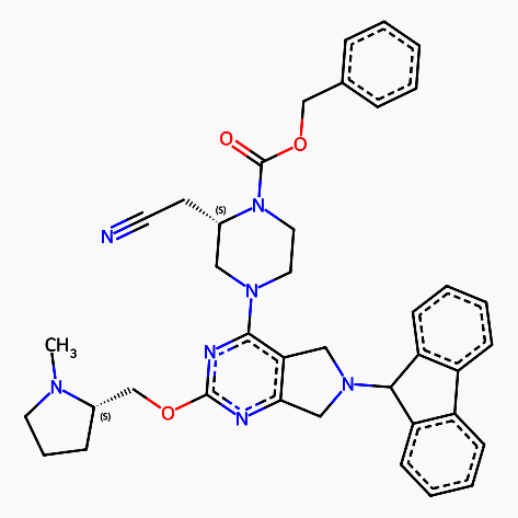 CN1CCC[C@H]1COc1nc2c(c(N3CCN(C(=O)OCc4ccccc4)[C@@H](CC#N)C3)n1)CN(C1c3ccccc3-c3ccccc31)C2